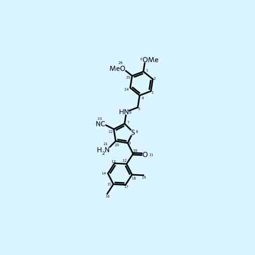 COc1ccc(CNc2sc(C(=O)c3ccc(C)cc3C)c(N)c2C#N)cc1OC